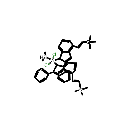 C[SiH](C)[Zr]([Cl])([Cl])([CH]1C(c2ccccc2)=Cc2c(C=C[Si](C)(C)C)cccc21)[CH]1C(c2ccccc2)=Cc2c(C=C[Si](C)(C)C)cccc21